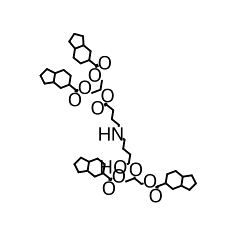 O=C(CCCNCCCC(O)OC(COC(=O)C1CCC2CCCC2C1)COC(=O)C1CCC2CCCC2C1)OC(COC(=O)C1CCC2CCCC2C1)COC(=O)C1CCC2CCCC2C1